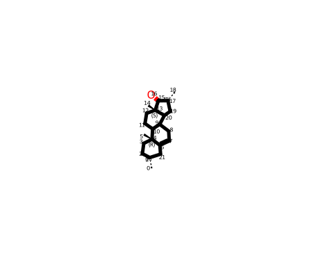 C[C@@H]1CC[C@@]2(C)C(=CCC3C2CC[C@]2(C)C(=O)[C@H](C)CC32)C1